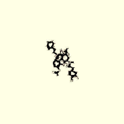 CC(=O)Oc1ccc2c3c1O[C@H]1[C@@H](N(C)C(=O)Cc4ccc(Cl)c(Cl)c4)CC[C@@]4(OC(C)=O)[C@@H](C2)N(CCc2ccccc2)CC[C@]314